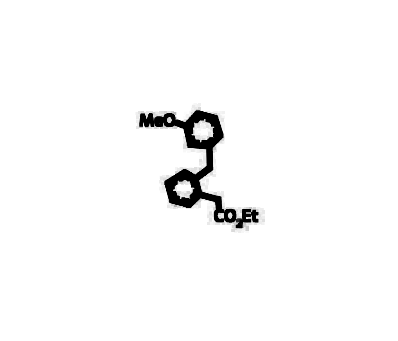 CCOC(=O)Cc1ccccc1Cc1cccc(OC)c1